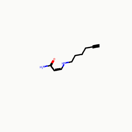 C#CCCCCN/C=C\C(N)=O